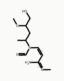 C/N=C(N)\C=C/N(C=O)C(C)CC(CO)OC